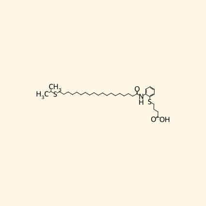 CC(C)SCCCCCCCCCCCCCCCCCCC(=O)Nc1ccccc1SCCCC(=O)O